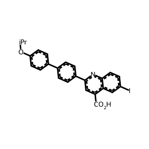 CC(C)Oc1ccc(-c2ccc(-c3cc(C(=O)O)c4cc(I)ccc4n3)cc2)cc1